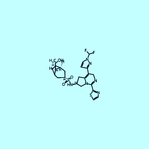 C[C@H]1CC2C[C@@H](S(=O)(=O)N[C@H]3CC4=C(c5ccn(C(F)F)n5)CN=C(c5nccs5)N4C3)C[C@H]1[C@@H]2CO